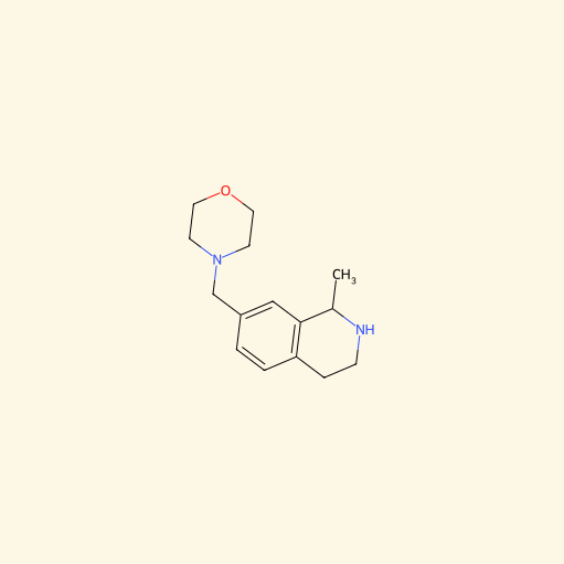 CC1NCCc2ccc(CN3CCOCC3)cc21